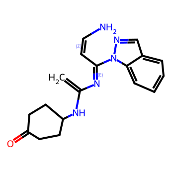 C=C(/N=C(\C=C/N)n1ncc2ccccc21)NC1CCC(=O)CC1